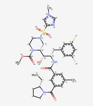 COC[C@H]1CCCN1C(=O)c1cc(C)cc(C(=O)N[C@@H](Cc2cc(F)cc(F)c2)[C@H](O)[C@H]2CN(S(=O)(=O)c3cn(C)cn3)CCN2C(=O)OC(C)(C)C)c1